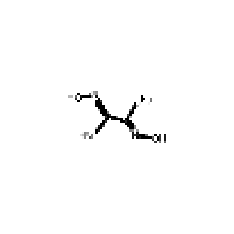 CC(C)(C)C(=N\O)/C(=N/O)C(C)(C)C